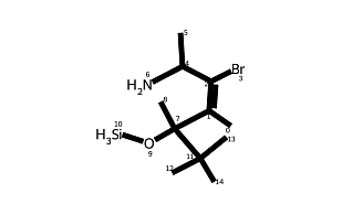 CC(=C(Br)C(C)N)C(C)(O[SiH3])C(C)(C)C